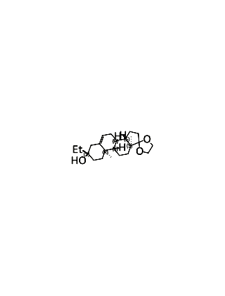 CC[C@]1(O)CC[C@@]2(C)C(=CC[C@@H]3[C@@H]2CC[C@@]2(C)[C@H]3CCC23OCCO3)C1